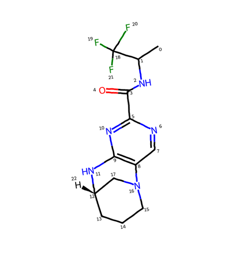 CC(NC(=O)c1ncc2c(n1)N[C@H]1CCCN2C1)C(F)(F)F